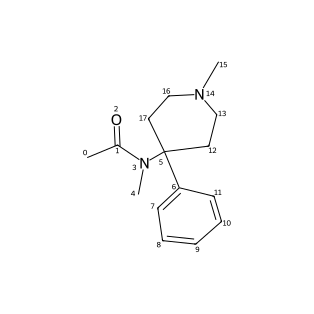 CC(=O)N(C)C1(c2ccccc2)CCN(C)CC1